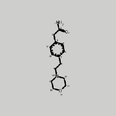 NC(=O)Cc1ccc(CCN2CCOCC2)cc1